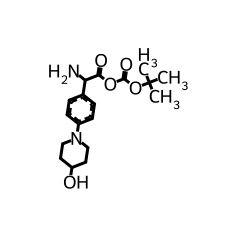 CC(C)(C)OC(=O)OC(=O)C(N)c1ccc(N2CCC(O)CC2)cc1